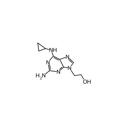 Nc1nc(NC2CC2)c2ncn(CCO)c2n1